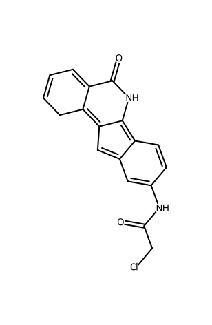 O=C(CCl)Nc1ccc2c(c1)=Cc1c3c(c(=O)[nH]c1=2)=CC=CC3